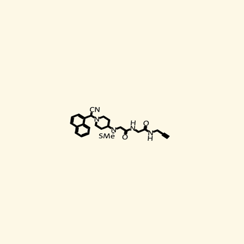 C#CCNC(=O)CNC(=O)CN(SC)C1CCN(C(C#N)c2cccc3ccccc23)CC1